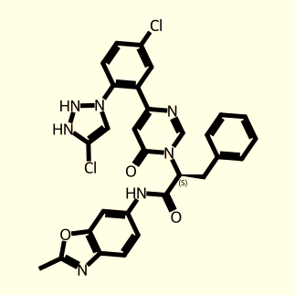 Cc1nc2ccc(NC(=O)[C@H](Cc3ccccc3)n3cnc(-c4cc(Cl)ccc4N4C=C(Cl)NN4)cc3=O)cc2o1